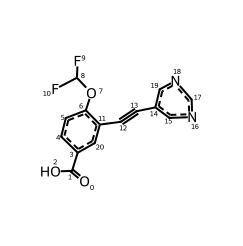 O=C(O)c1ccc(OC(F)F)c(C#Cc2cncnc2)c1